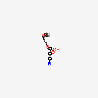 C[Si](C)(C)O[Si](C)(C)O[Si](C)(C)CCCCCCOc1ccc(C(=O)O)c(-c2ccc(-c3ccc(C#N)cc3)cc2)c1